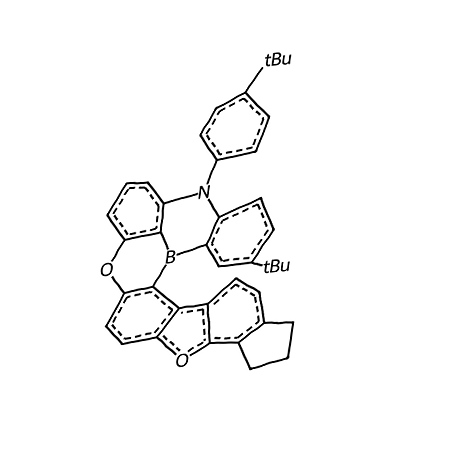 CC(C)(C)c1ccc(N2c3ccc(C(C)(C)C)cc3B3c4c(cccc42)Oc2ccc4oc5c6c(ccc5c4c23)CCC6)cc1